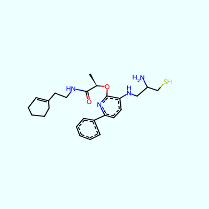 C[C@@H](Oc1nc(-c2ccccc2)ccc1NCC(N)CS)C(=O)NCCC1=CCCCC1